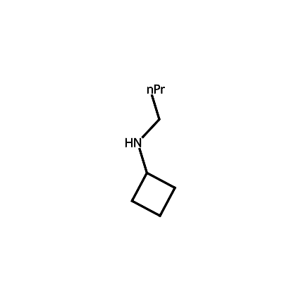 CCCCNC1CCC1